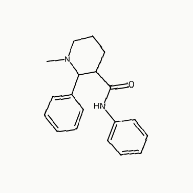 CN1CCCC(C(=O)Nc2ccccc2)C1c1ccccc1